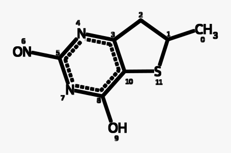 CC1Cc2nc(N=O)nc(O)c2S1